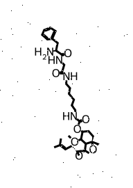 COC1C(OC(=O)NCCCCCCNC(=O)CNC(=O)[C@@H](N)Cc2ccccc2)CC[C@]2(CO2)C1C1(C)O[C@@H]1CC=C(C)C